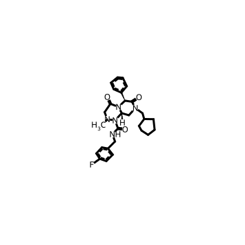 CN1CC(=O)N2[C@@H](c3ccccc3)C(=O)N(CC3CCCCC3)C[C@@H]2N1C(=O)NCc1ccc(F)cc1